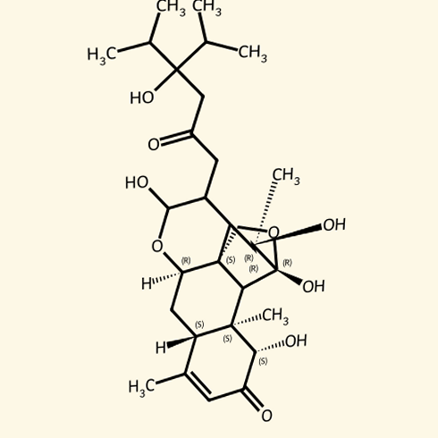 CC1=CC(=O)[C@@H](O)[C@]2(C)C3[C@]45CO[C@@]3(O)[C@H](O)[C@H](C)C4C(CC(=O)CC(O)(C(C)C)C(C)C)C(O)O[C@@H]5C[C@@H]12